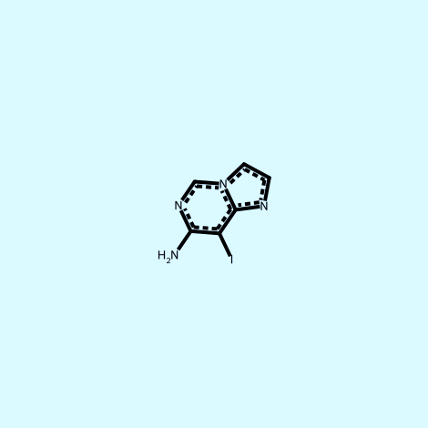 Nc1ncn2ccnc2c1I